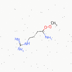 COOC(N)CCCNC(=N)N